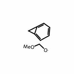 COC[O].c1ccc2c(c1)C2